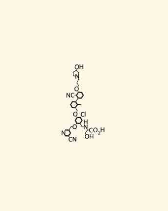 Cc1c(COc2cc(OCc3cncc(C#N)c3)c(CNC(CO)C(=O)O)cc2Cl)cccc1-c1cccc(OCCCN2CCC(O)C2)c1C#N